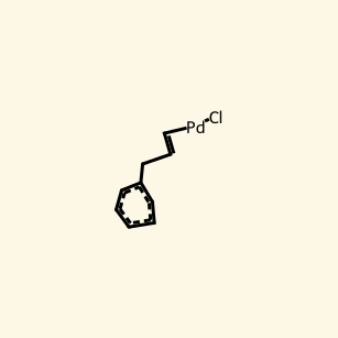 [Cl][Pd][CH]=CCc1ccccc1